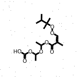 CC(=COOC(C)(C)C(C)C)C(=O)OC(C)OC(C)OC(=O)O